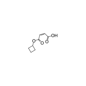 O=C(O)/C=C\C(=O)OC1CCC1